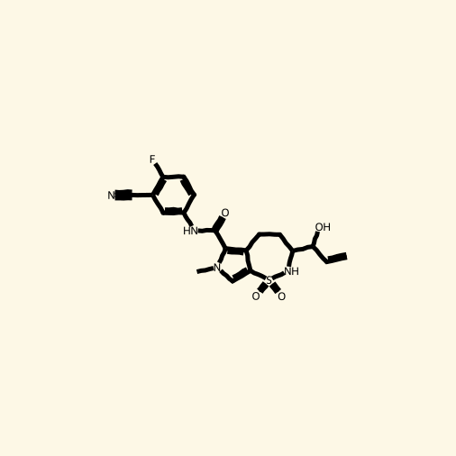 C=CC(O)C1CCc2c(cn(C)c2C(=O)Nc2ccc(F)c(C#N)c2)S(=O)(=O)N1